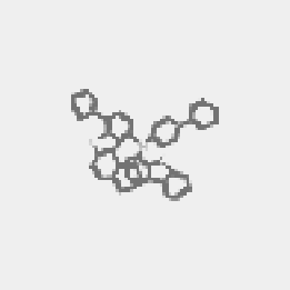 c1ccc(-c2ccc(N(c3cccc4c3sc3ccccc34)c3ccc(-c4ccccc4)c4oc5ccc6ccccc6c5c34)cc2)cc1